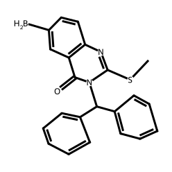 Bc1ccc2nc(SC)n(C(c3ccccc3)c3ccccc3)c(=O)c2c1